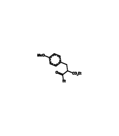 CCOC(=O)C(Cc1ccc(OC)cc1)C(=O)CC